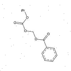 CC(C)OC(=O)OCOC(=O)c1cc[c]cc1